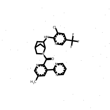 Cc1cnc(C(=O)N2CC3CC(Nc4ncc(C(F)(F)F)cc4Cl)C2C3)c(-c2ncccn2)c1